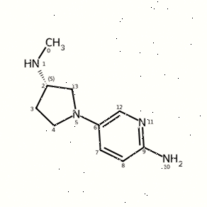 CN[C@H]1CCN(c2ccc(N)nc2)C1